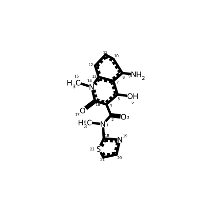 CN(C(=O)c1c(O)c2c(N)cccc2n(C)c1=O)c1nccs1